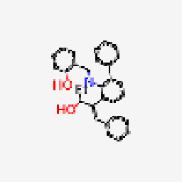 CCC(O)C(=Cc1ccccc1)c1cccc(-c2ccccc2)c1N=Cc1ccccc1O